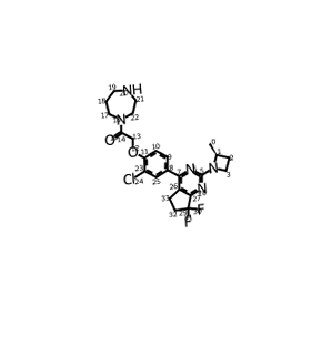 C[C@H]1CCN1c1nc(-c2ccc(OCC(=O)N3CCCNCC3)c(Cl)c2)c2c(n1)C(F)(F)CC2